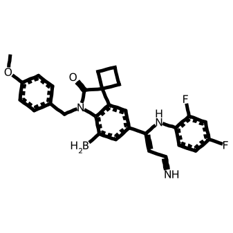 Bc1cc(/C(=C/C=N)Nc2ccc(F)cc2F)cc2c1N(Cc1ccc(OC)cc1)C(=O)C21CCC1